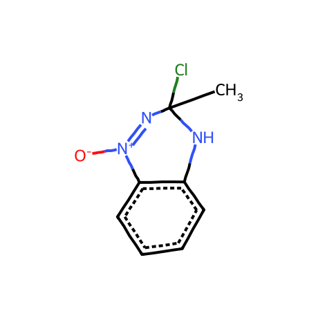 CC1(Cl)N=[N+]([O-])c2ccccc2N1